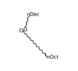 CCCCCCCCC=CCCCCCCCCCCCCCC(=O)OCCCCCCCCCCCCCCCC